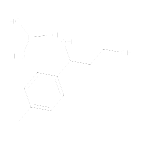 Cc1ccc(C(O)CCO)cc1.OP(O)O